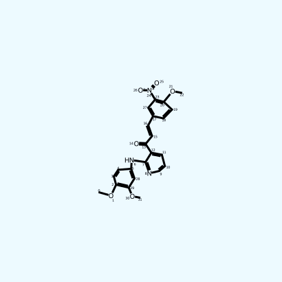 COc1ccc(Nc2ncccc2C(=O)C=Cc2ccc(OC)c([N+](=O)[O-])c2)cc1OC